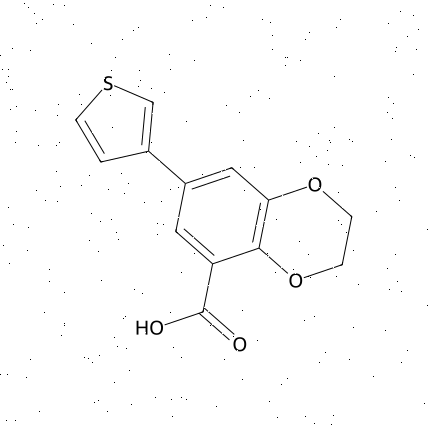 O=C(O)c1cc(-c2ccsc2)cc2c1OCCO2